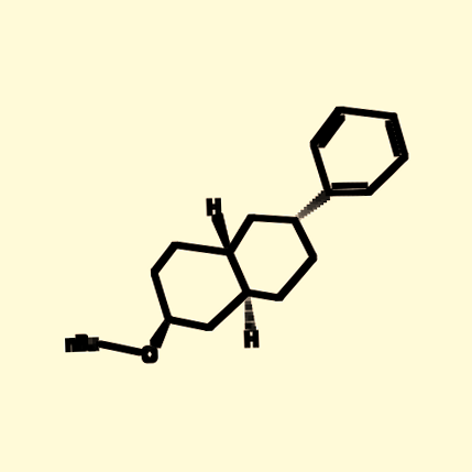 CCCCO[C@H]1CC[C@@H]2C[C@H](c3ccccc3)CC[C@H]2C1